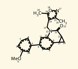 COc1cccc(-c2ccc3c(c2)N(Cc2c(C)noc2C)C(=O)C2CC32)c1